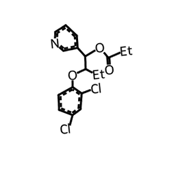 CCC(=O)OC(c1cccnc1)C(CC)Oc1ccc(Cl)cc1Cl